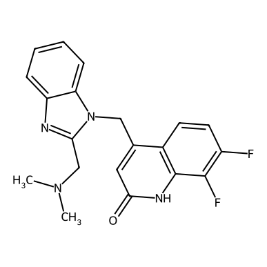 CN(C)Cc1nc2ccccc2n1Cc1cc(=O)[nH]c2c(F)c(F)ccc12